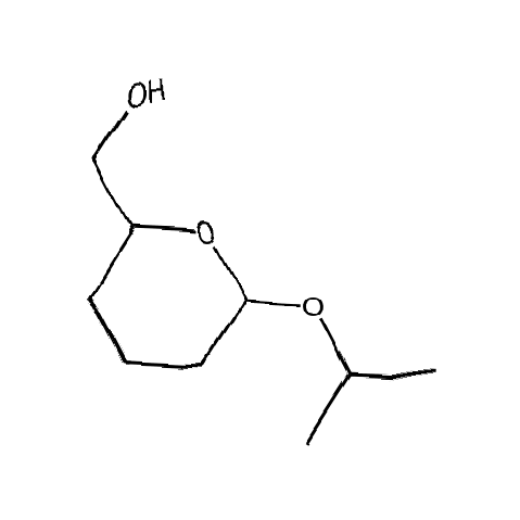 CC(C)OC1CCCC(CO)O1